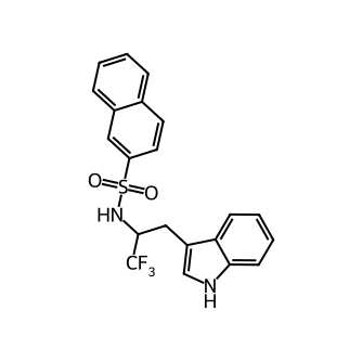 O=S(=O)(NC(Cc1c[nH]c2ccccc12)C(F)(F)F)c1ccc2ccccc2c1